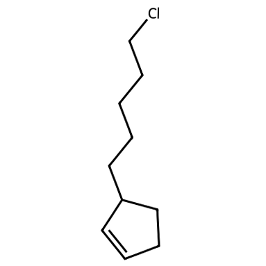 ClCCCCCC1C=CCC1